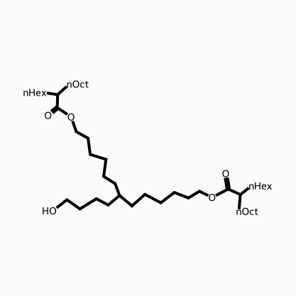 CCCCCCCCC(CCCCCC)C(=O)OCCCCCCC(CCCCO)CCCCCCOC(=O)C(CCCCCC)CCCCCCCC